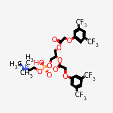 C[N+](C)(C)CCOP(=O)(O)OCC(COC(=O)COc1cc(C(F)(F)F)cc(C(F)(F)F)c1)OC(=O)COc1cc(C(F)(F)F)cc(C(F)(F)F)c1